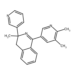 Cc1cc(C2=NC(C)(c3cccnc3)Cc3ccccc32)cnc1C